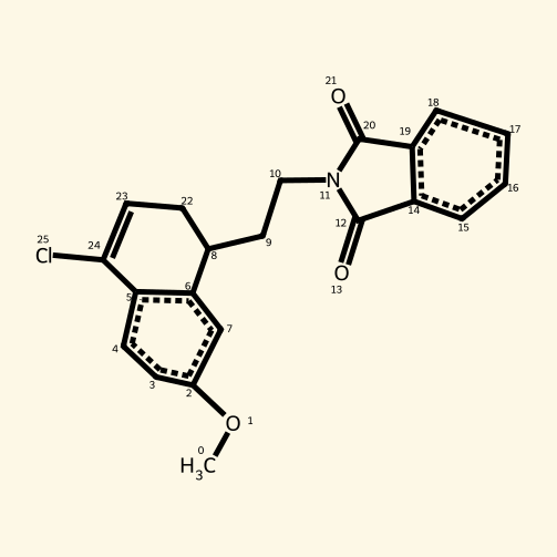 COc1ccc2c(c1)C(CCN1C(=O)c3ccccc3C1=O)CC=C2Cl